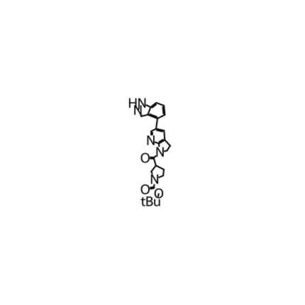 CC(C)(C)OC(=O)N1CCC(C(=O)N2CCc3cc(-c4cccc5[nH]ncc45)cnc32)C1